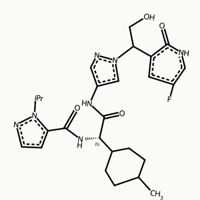 CC1CCC([C@H](NC(=O)c2ccnn2C(C)C)C(=O)Nc2cnn(C(CO)c3cc(F)c[nH]c3=O)c2)CC1